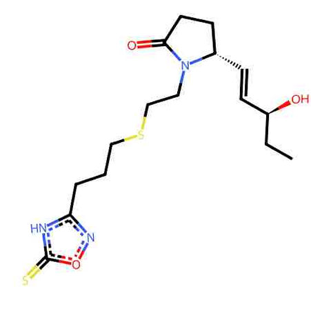 CC[C@H](O)/C=C/[C@H]1CCC(=O)N1CCSCCCc1noc(=S)[nH]1